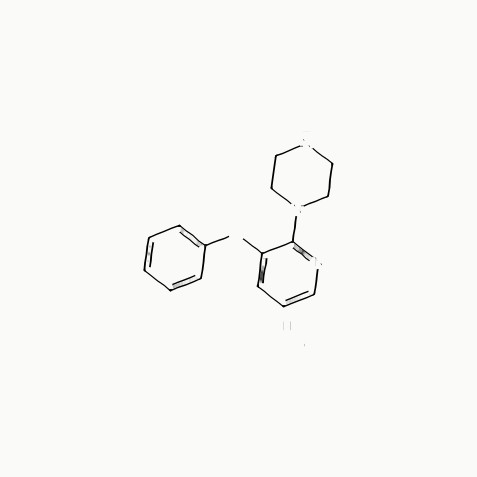 Cl.Cl.c1ccc(Oc2cccnc2N2CCNCC2)cc1